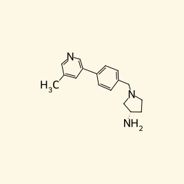 Cc1cncc(-c2ccc(CN3CC[C@H](N)C3)cc2)c1